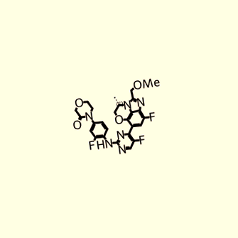 COCc1nc2c(F)cc(-c3nc(Nc4ccc(N5CCOCC5=O)cc4F)ncc3F)c3c2n1[C@@H](C)CO3